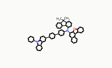 CC1(C)c2ccccc2-c2c(N(c3ccc(-c4ccc(-c5ccc6c(c5)c5ccccc5n6-c5ccccc5)cc4)cc3)c3cc4ccccc4c4c3oc3ccccc34)cccc21